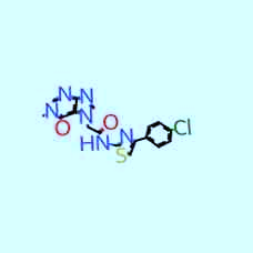 Cn1cnc2ncn(CC(=O)Nc3nc(-c4ccc(Cl)cc4)cs3)c2c1=O